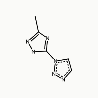 CC1=N[N]C(n2ccnn2)=N1